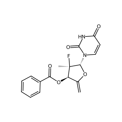 C=C1O[C@@H](n2ccc(=O)[nH]c2=O)[C@](C)(F)[C@@H]1OC(=O)c1ccccc1